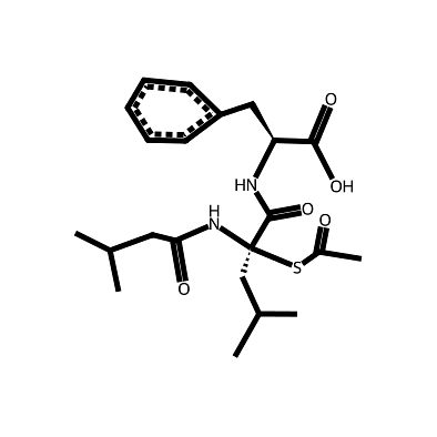 CC(=O)S[C@@](CC(C)C)(NC(=O)CC(C)C)C(=O)N[C@@H](Cc1ccccc1)C(=O)O